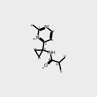 Cc1nccc(C2(NC(=O)C(C)C)CC2)n1